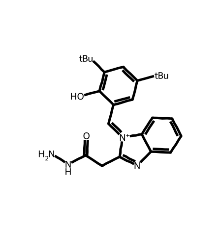 CC(C)(C)c1cc(C=[N+]2C(CC(=O)NN)=Nc3ccccc32)c(O)c(C(C)(C)C)c1